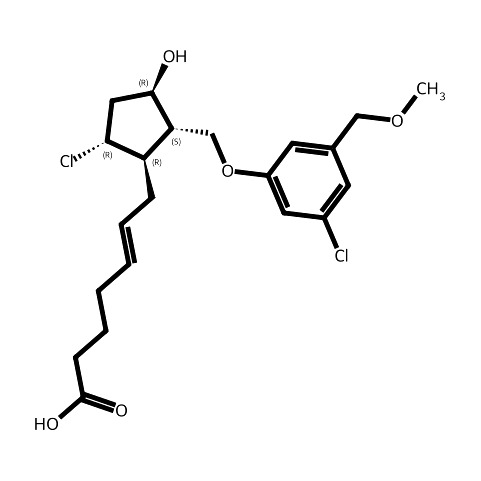 COCc1cc(Cl)cc(OC[C@@H]2[C@@H](CC=CCCCC(=O)O)[C@H](Cl)C[C@H]2O)c1